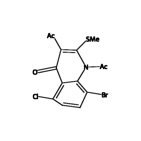 CSc1c(C(C)=O)c(=O)c2c(Cl)ccc(Br)c2n1C(C)=O